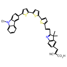 CCn1c2ccccc2c2cc(-c3ccc(-c4ccc(-c5ccc(/C=C/C6=Nc7ccc(/C=C(\C#N)C(=O)O)cc7C6(C)C)s5)s4)s3)ccc21